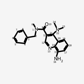 CN(Cc1ccccc1)C(=O)c1cnc2c(N)cccc2c1N(C)C